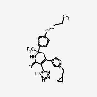 O=C1N[C@@](c2ccc(OCCCC(F)(F)F)cc2)(C(F)(F)F)CC(c2cnn(CC3CC3)c2)=C1c1nnn[nH]1